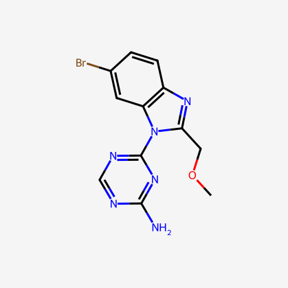 COCc1nc2ccc(Br)cc2n1-c1ncnc(N)n1